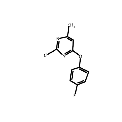 Cc1cc(Oc2ccc(F)cc2)nc(Cl)n1